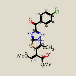 CO/C=C(/C(=O)OC)c1sc2nc(C(=O)c3ccc(Cl)cc3)nn2c1C